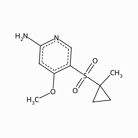 COc1cc(N)ncc1S(=O)(=O)C1(C)CC1